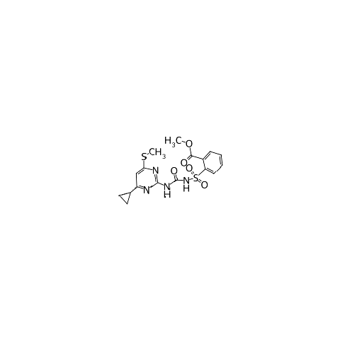 COC(=O)c1ccccc1S(=O)(=O)NC(=O)Nc1nc(SC)cc(C2CC2)n1